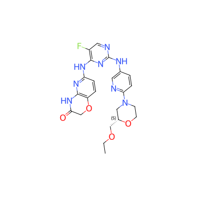 CCOC[C@@H]1CN(c2ccc(Nc3ncc(F)c(Nc4ccc5c(n4)NC(=O)CO5)n3)cn2)CCO1